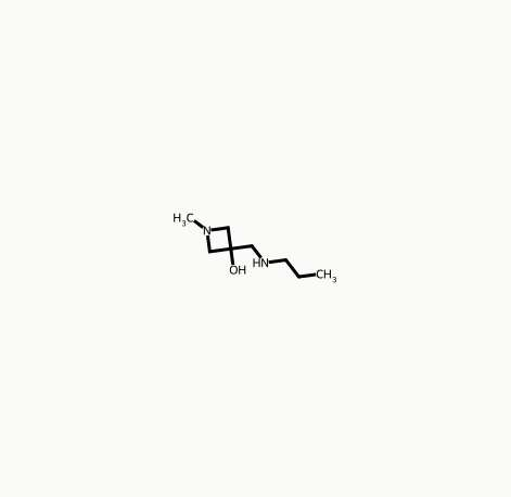 CCCNCC1(O)CN(C)C1